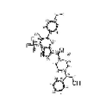 CCc1ccc(-c2nc3c(C(=O)N4CCN([C@@H](CO)c5ccccc5)C[C@H]4C)cnn3c(C(F)(F)F)c2C)cc1